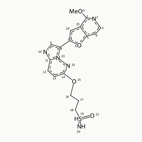 COc1nccc2oc(-c3cnc4ccc(OCCC[SH](=N)=O)nn34)cc12